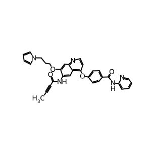 CC#CC(=O)Nc1cc2c(Oc3ccc(C(=O)Nc4ccccn4)cc3)ccnc2cc1OCCCn1cccc1